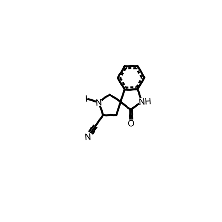 N#CC1CC2(CN1I)C(=O)Nc1ccccc12